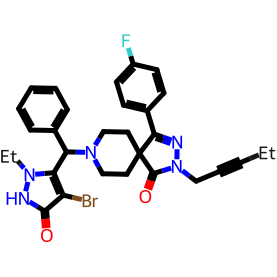 CCC#CCN1N=C(c2ccc(F)cc2)C2(CCN(C(c3ccccc3)c3c(Br)c(=O)[nH]n3CC)CC2)C1=O